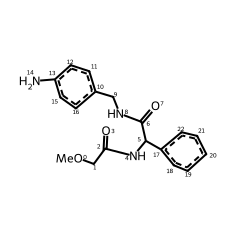 COCC(=O)NC(C(=O)NCc1ccc(N)cc1)c1ccccc1